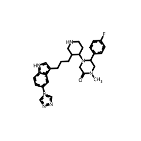 CN1CC(c2ccc(F)cc2)N(C2CCNCC2CCCc2c[nH]c3ccc(-n4cnnc4)cc23)CC1=O